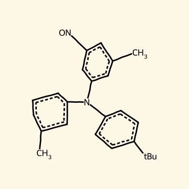 Cc1cccc(N(c2ccc(C(C)(C)C)cc2)c2cc(C)cc(N=O)c2)c1